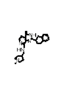 C=C1NC(C2CCc3ccccc3C2)=Nc2c1ccnc2CNCC1CCN(C)CC1